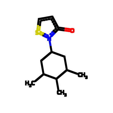 CC1CC(n2sccc2=O)CC(C)C1C